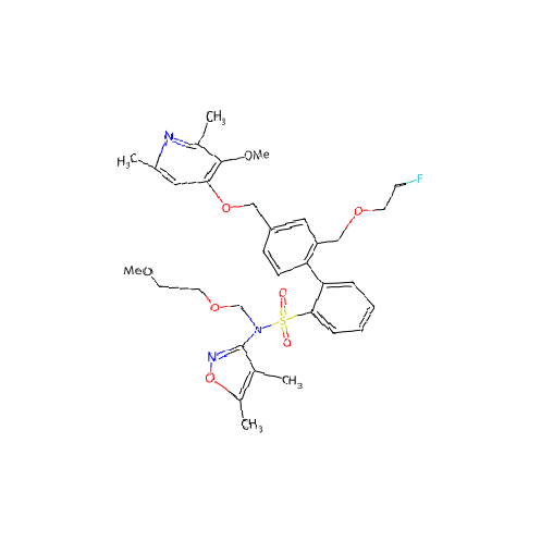 COCCOCN(c1noc(C)c1C)S(=O)(=O)c1ccccc1-c1ccc(COc2cc(C)nc(C)c2OC)cc1COCCF